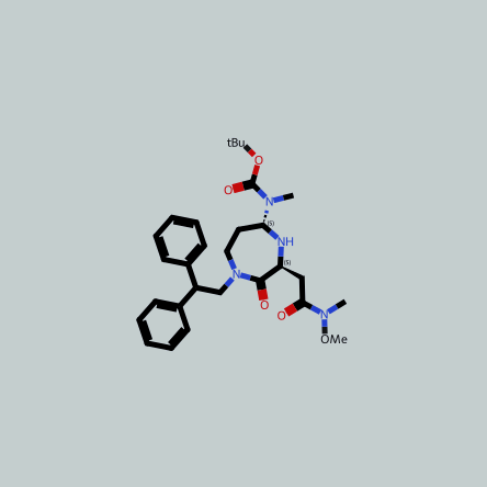 CON(C)C(=O)C[C@@H]1N[C@@H](N(C)C(=O)OC(C)(C)C)CCN(CC(c2ccccc2)c2ccccc2)C1=O